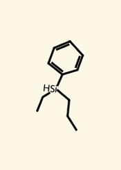 CCC[SiH](CC)c1ccccc1